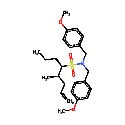 C=CC[C@@H](C)[C@@H](CCC)S(=O)(=O)N(Cc1ccc(OC)cc1)Cc1ccc(OC)cc1